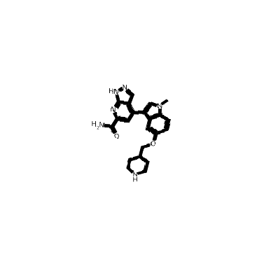 Cn1cc(-c2cc(C(N)=O)nc3[nH]ncc23)c2cc(OCC3CCNCC3)ccc21